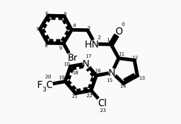 O=C(NCc1ccccc1Br)C1CC=CN1c1ncc(C(F)(F)F)cc1Cl